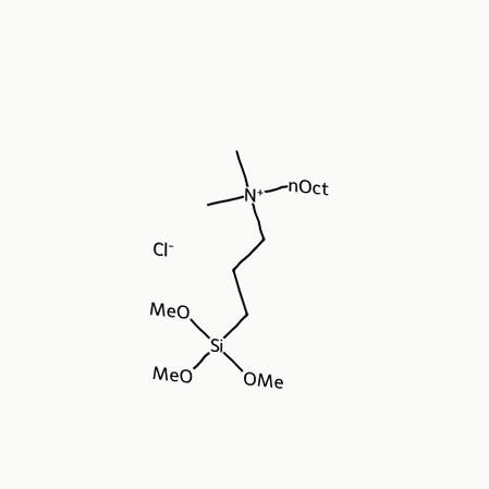 CCCCCCCC[N+](C)(C)CCC[Si](OC)(OC)OC.[Cl-]